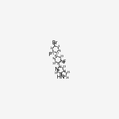 Fc1cc(Br)ccc1-c1ccc(-c2cc3cc[nH]c3cn2)c(F)c1